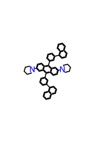 c1cc(-c2cccc3ccccc23)cc(-c2c3ccc(N4CCCCC4)cc3c(-c3cccc(-c4cccc5ccccc45)c3)c3ccc(N4CCCCC4)cc23)c1